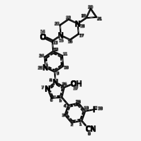 N#Cc1ccc(-c2cnn(-c3ccc(C(=O)N4CCN(C5CC5)CC4)cn3)c2O)cc1F